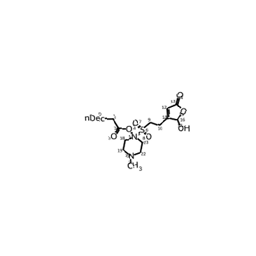 CCCCCCCCCCCC(=O)O[N+]1(S(=O)(=O)CCC2=CC(=O)OC2O)CCN(C)CC1